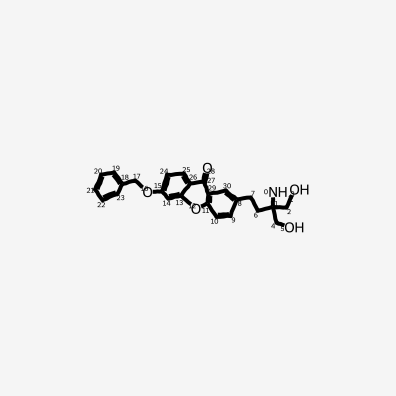 NC(CO)(CO)CCc1ccc2oc3cc(OCc4ccccc4)ccc3c(=O)c2c1